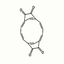 O=C1C(=O)/C2=C/C=C\C3=CC(=C\C=C/C1=C2)/C(=O)C3=O